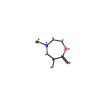 C=C1OCCN(C(C)C)CC1C